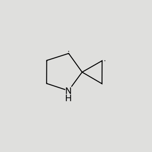 [CH]1CCNC12[CH]C2